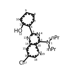 CCCN(CCC)c1nc(-c2ccccc2O)nc2cc(Cl)cnc12